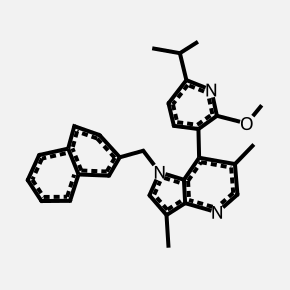 COc1nc(C(C)C)ccc1-c1c(C)cnc2c(C)cn(Cc3ccc4ccccc4c3)c12